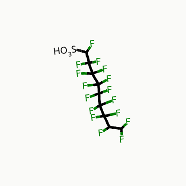 O=S(=O)(O)C(F)C(F)(F)C(F)(F)C(F)(F)C(F)(F)C(F)(F)C(F)(F)C(F)C(F)F